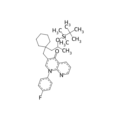 CC(CC1(Cc2cn(-c3ccc(F)cc3)c3ncccc3c2=O)CCCCC1)O[Si](C)(C)C(C)(C)C